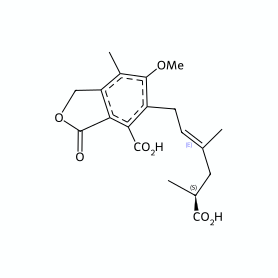 COc1c(C)c2c(c(C(=O)O)c1C/C=C(\C)C[C@H](C)C(=O)O)C(=O)OC2